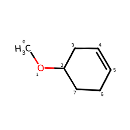 COC1CC=CCC1